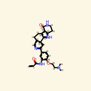 C=CC(=O)Nc1cc(-c2cc3c(cn2)CCc2c-3[nH]c3c2C(=O)NCC3)ccc1OCCN(C)C